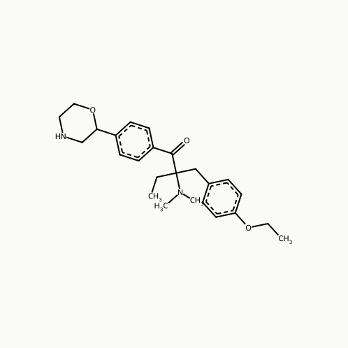 CCOc1ccc(CC(CC)(C(=O)c2ccc(C3CNCCO3)cc2)N(C)C)cc1